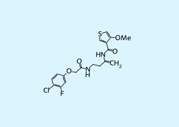 C=C(CCNC(=O)COc1ccc(Cl)c(F)c1)NC(=O)c1cscc1OC